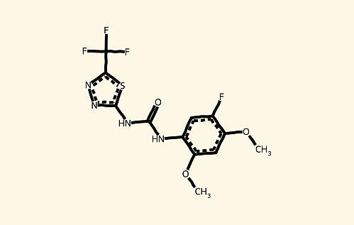 COc1cc(OC)c(NC(=O)Nc2nnc(C(F)(F)F)s2)cc1F